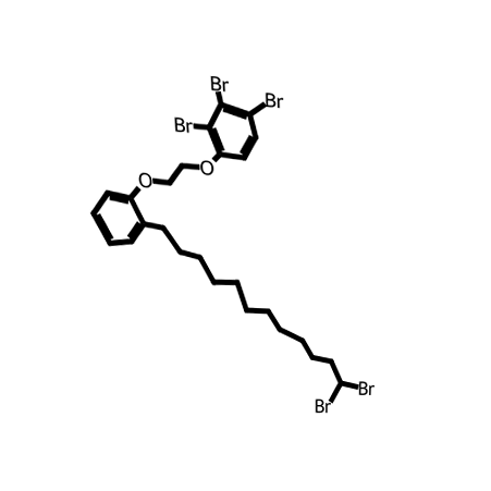 Brc1ccc(OCCOc2ccccc2CCCCCCCCCCCC(Br)Br)c(Br)c1Br